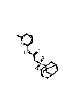 Cc1cccc(NC(=O)CS(=O)(=O)C23CC4CC(CC(C4)C2)C3)n1